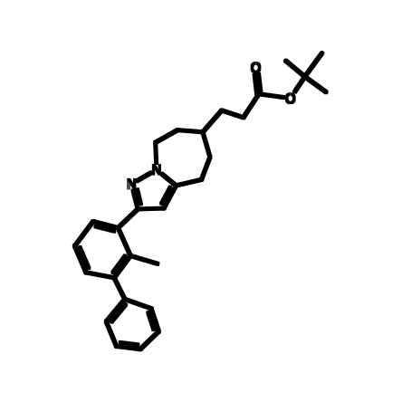 Cc1c(-c2ccccc2)cccc1-c1cc2n(n1)CCC(CCC(=O)OC(C)(C)C)CC2